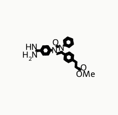 COC(=O)CCc1ccc(C2CN(c3ccc(C(=N)N)cc3)C(=O)N2c2ccccc2)cc1